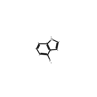 Fc1cc[c]c2occc12